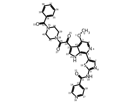 COc1cnc(-c2cnc(NC(=O)c3ccncc3)s2)c2[nH]cc(C(=O)C(=O)N3CCN(C(=O)c4ccccc4)CC3)c12